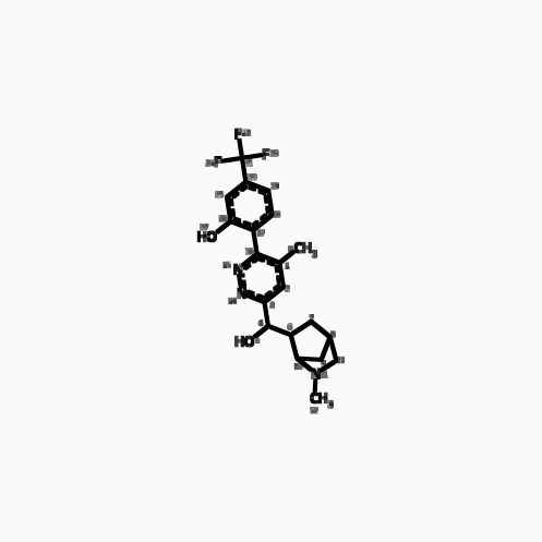 Cc1cc(C(O)C2CC3CC2N(C)C3)nnc1-c1ccc(C(F)(F)F)cc1O